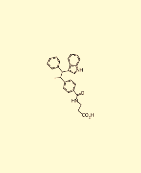 CC(c1ccc(C(=O)NCCC(=O)O)cc1)C(c1ccccc1)c1c[nH]c2ccccc12